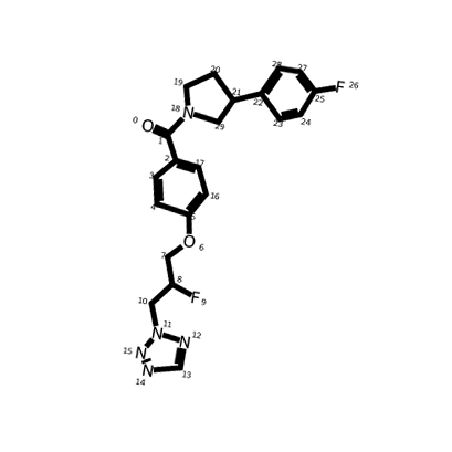 O=C(c1ccc(OCC(F)Cn2ncnn2)cc1)N1CCC(c2ccc(F)cc2)C1